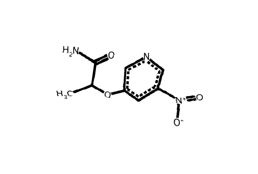 CC(Oc1cncc([N+](=O)[O-])c1)C(N)=O